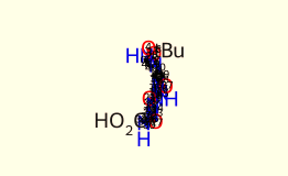 CC1(NC(=O)OC(C)(C)C)CCN(CC2CC=C(n3ccc(NC(=O)N4CCN(C(=O)C(C)(C)NC(=O)O)CC4)nc3=O)CC2)CC1